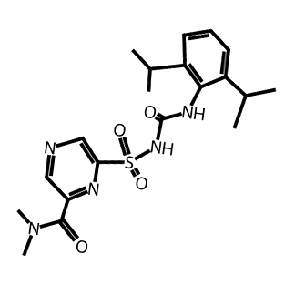 CC(C)c1cccc(C(C)C)c1NC(=O)NS(=O)(=O)c1cncc(C(=O)N(C)C)n1